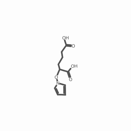 O=C(O)CCCC(On1cccc1)C(=O)O